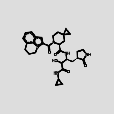 O=C(NC1CC1)C(O)[C@H](C[C@@H]1CCNC1=O)NC(=O)[C@@H]1CC2(CCN1C(=O)c1cc3cccc4c3n1CCC4)CC2